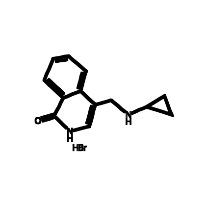 Br.O=c1[nH]cc(CNC2CC2)c2ccccc12